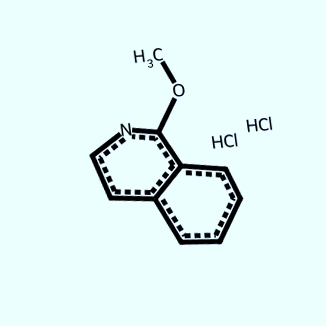 COc1nccc2ccccc12.Cl.Cl